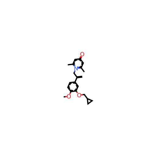 C=C(Cn1c(C)cc(=O)cc1C)c1ccc(OC)c(OCC2CC2)c1